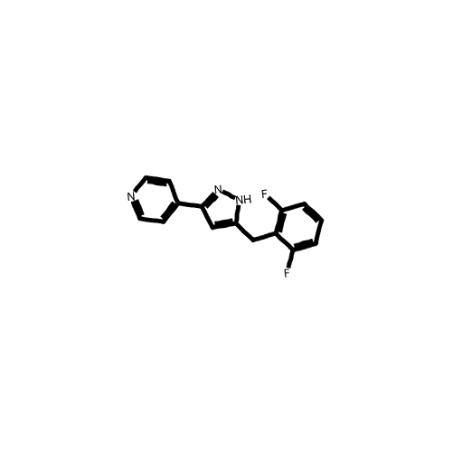 Fc1cccc(F)c1Cc1cc(-c2ccncc2)n[nH]1